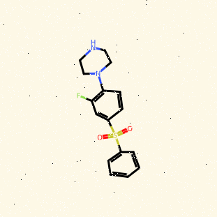 O=S(=O)(c1ccccc1)c1ccc(N2CCNCC2)c(F)c1